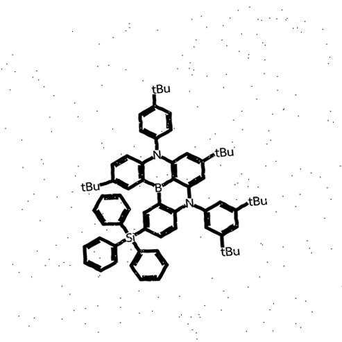 CC(C)(C)c1ccc(N2c3ccc(C(C)(C)C)cc3B3c4cc([Si](c5ccccc5)(c5ccccc5)c5ccccc5)ccc4N(c4cc(C(C)(C)C)cc(C(C)(C)C)c4)c4cc(C(C)(C)C)cc2c43)cc1